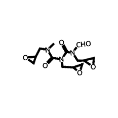 CN(CC1CO1)C(=O)N(CC1CO1)C(=O)N(C=O)CC1CO1